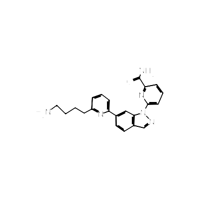 NCCCCc1cccc(-c2ccc3cnn(-c4cccc(C(N)=O)n4)c3c2)n1